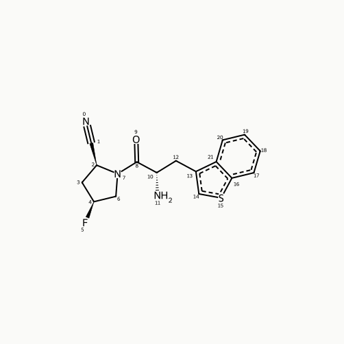 N#C[C@@H]1C[C@H](F)CN1C(=O)[C@@H](N)Cc1csc2ccccc12